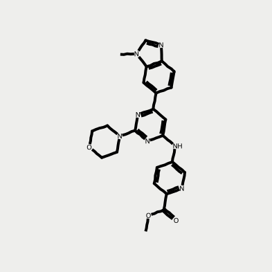 COC(=O)c1ccc(Nc2cc(-c3ccc4ncn(C)c4c3)nc(N3CCOCC3)n2)cn1